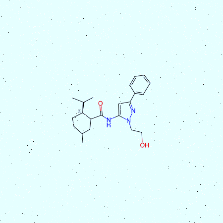 CC1CC[C@@H](C(C)C)C(C(=O)Nc2cc(-c3ccccc3)nn2CCO)C1